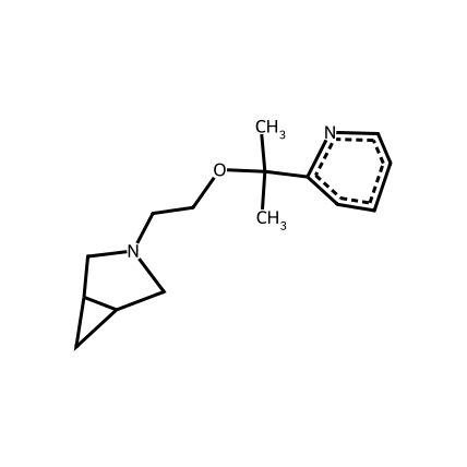 CC(C)(OCCN1CC2CC2C1)c1ccccn1